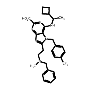 C[C@@H](Nc1nc(C(=O)O)nc2nc(CCN(C)Cc3ccccc3)n(Cc3ccc(C(F)(F)F)cc3)c12)C1CCC1